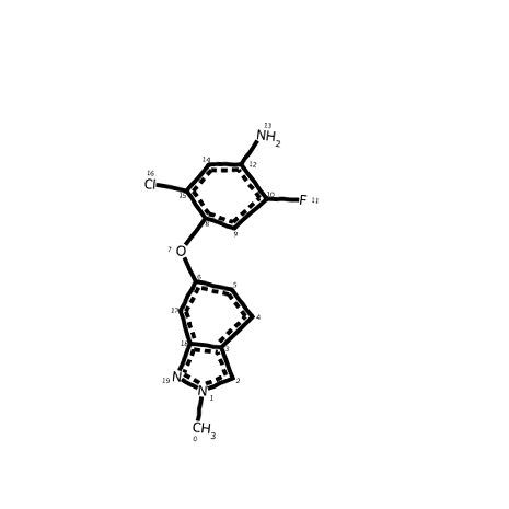 Cn1cc2ccc(Oc3cc(F)c(N)cc3Cl)cc2n1